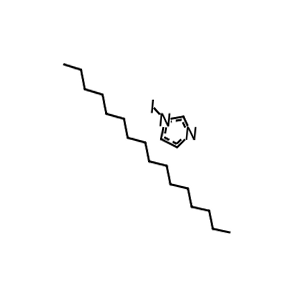 CCCCCCCCCCCCCCCC.In1ccnc1